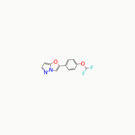 FC(F)Oc1ccc(-c2cn3nccc3o2)cc1